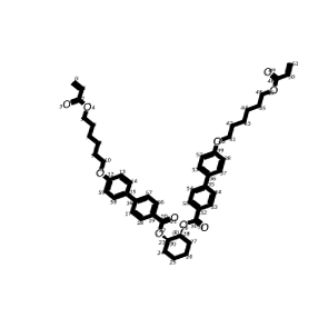 C=CC(=O)OCCCCCCOc1ccc(-c2ccc(C(=O)O[C@@H]3CCCC[C@H]3OC(=O)c3ccc(-c4ccc(OCCCCCCOC(=O)C=C)cc4)cc3)cc2)cc1